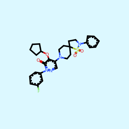 O=c1c(OC2CCCC2)c(N2CCC3(CC2)CCN(c2ccccc2)S3(=O)=O)cnn1-c1cccc(F)c1